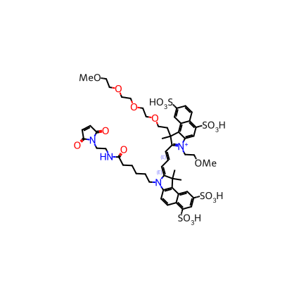 COCCOCCOCCOCCC1(C)C(/C=C/C=C2/N(CCCCCC(=O)NCCN3C(=O)C=CC3=O)c3ccc4c(S(=O)(=O)O)cc(S(=O)(=O)O)cc4c3C2(C)C)=[N+](CCOC)c2cc(S(=O)(=O)O)c3ccc(S(=O)(=O)O)cc3c21